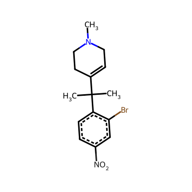 CN1CC=C(C(C)(C)c2ccc([N+](=O)[O-])cc2Br)CC1